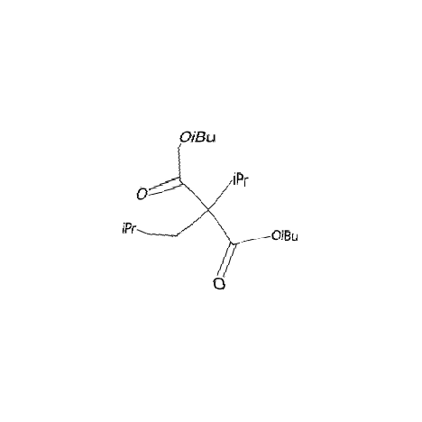 CC(C)COC(=O)C(CC(C)C)(C(=O)OCC(C)C)C(C)C